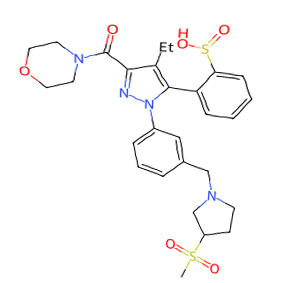 CCc1c(C(=O)N2CCOCC2)nn(-c2cccc(CN3CCC(S(C)(=O)=O)C3)c2)c1-c1ccccc1S(=O)O